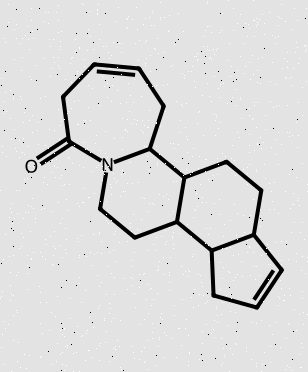 O=C1CC=CCC2C3CCC4C=CCC4C3CCN12